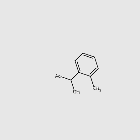 CC(=O)C(O)c1ccccc1C